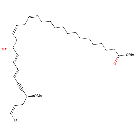 CC/C=C\C[C@@H](C#C/C=C/C=C/[C@H](O)C/C=C\C/C=C\CCCCCCCCCCCCC(=O)OC)OC